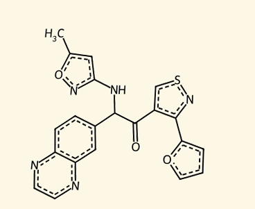 Cc1cc(NC(C(=O)c2csnc2-c2ccco2)c2ccc3nccnc3c2)no1